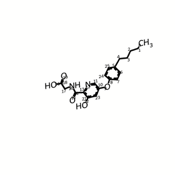 CCCCCc1ccc(Oc2cnc(C(=O)NCC(=O)O)c(O)c2)cc1